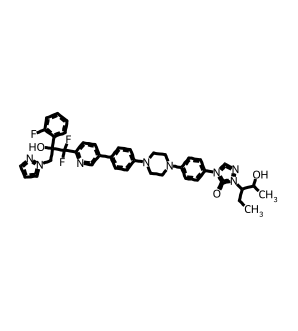 CCC(C(C)O)n1ncn(-c2ccc(N3CCN(c4ccc(-c5ccc(C(F)(F)C(O)(Cn6cccn6)c6ccccc6F)nc5)cc4)CC3)cc2)c1=O